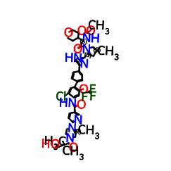 COC(=O)N[C@H](C(=O)N1C[C@@H](C)C[C@H]1c1nc(-c2ccc(-c3cc(Cl)c(NC(=O)c4ccc(N5CCN(C(=O)C(C)(C)CO)C[C@H]5C)nc4)cc3OC(F)(F)F)cc2)c[nH]1)C1CCOCC1